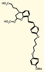 COc1ccc(OCCCCOc2ccc(/C=C/c3cccc4c3OC(OC(=O)O)CN4CCCC(=O)O)cc2)cc1